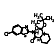 CC(C)(C)OC(=O)N1CCCC[C@H]1C(=O)Nc1nc2ccc(Cl)cc2s1